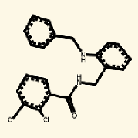 O=C(NCc1ccccc1NCc1ccccc1)c1cccc(Cl)c1Cl